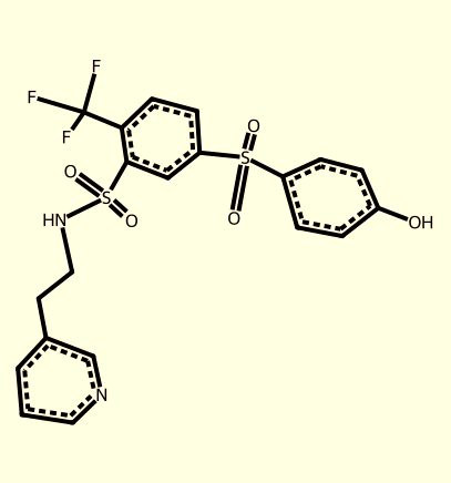 O=S(=O)(NCCc1cccnc1)c1cc(S(=O)(=O)c2ccc(O)cc2)ccc1C(F)(F)F